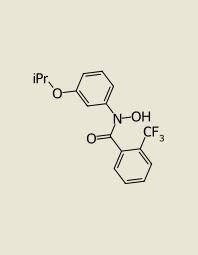 CC(C)Oc1cccc(N(O)C(=O)c2ccccc2C(F)(F)F)c1